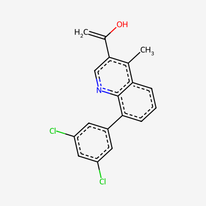 C=C(O)c1cnc2c(-c3cc(Cl)cc(Cl)c3)cccc2c1C